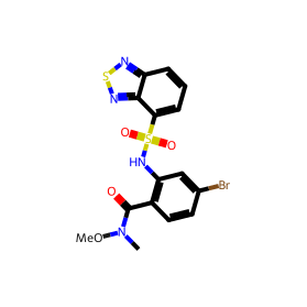 CON(C)C(=O)c1ccc(Br)cc1NS(=O)(=O)c1cccc2nsnc12